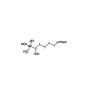 CCCCCCCCCCCC(O)[N+](C)(O)CC